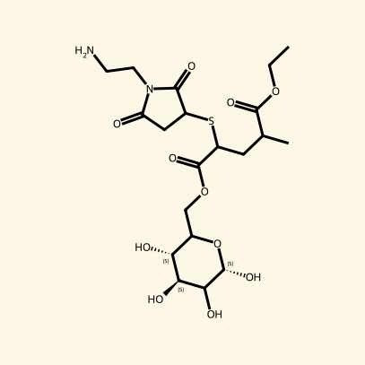 CCOC(=O)C(C)CC(SC1CC(=O)N(CCN)C1=O)C(=O)OCC1O[C@H](O)C(O)[C@@H](O)[C@@H]1O